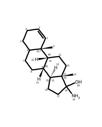 C[C@]12C=CCCC1CC[C@@H]1[C@H]2CC[C@@]2(C)[C@H]1CCC2(N)O